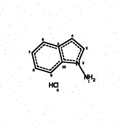 Cl.Nn1ccc2ccccc21